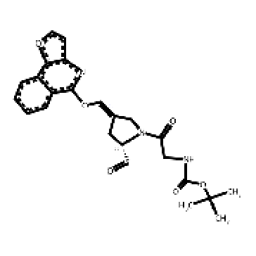 CC(C)(C)OC(=O)NCC(=O)N1C/C(=C/Oc2nc3ccoc3c3ccccc23)C[C@H]1C=O